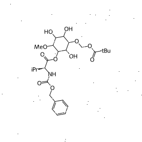 COC1C(O)C(O)C(OCOC(=O)C(C)(C)C)C(O)C1OC(=O)[C@@H](NC(=O)OCc1ccccc1)C(C)C